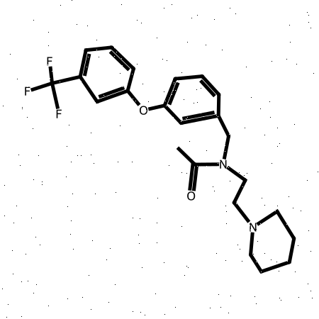 CC(=O)N(CCN1CCCCC1)Cc1cccc(Oc2cccc(C(F)(F)F)c2)c1